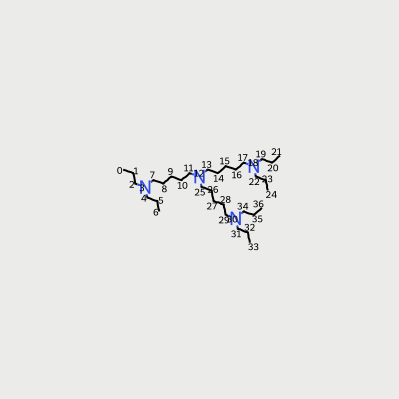 CCCN(CCC)CCCCCN(CCCCCN(CCC)CCC)CCCCCN(CCC)CCC